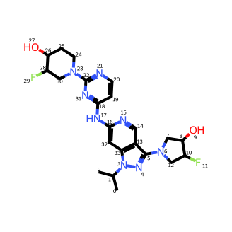 CC(C)n1nc(N2CC(O)C(F)C2)c2cnc(Nc3ccnc(N4CCC(O)C(F)C4)n3)cc21